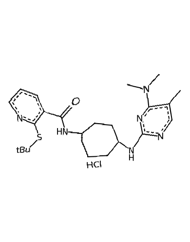 Cc1cnc(NC2CCC(NC(=O)c3cccnc3SC(C)(C)C)CC2)nc1N(C)C.Cl